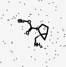 CC(C)(C)OC(=O)N1CCC2C[C@]21CN